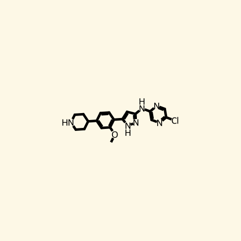 COc1cc(C2CCNCC2)ccc1-c1cc(Nc2cnc(Cl)cn2)n[nH]1